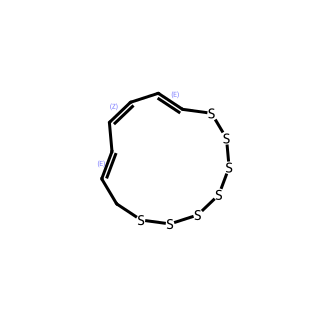 C1=C\C=C\SSSSSSSC/C=C/1